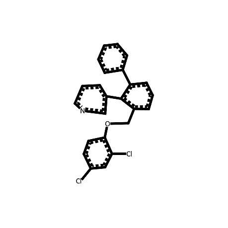 Clc1ccc(OCc2cccc(-c3ccccc3)c2-c2cccnc2)c(Cl)c1